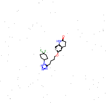 O=C1CCc2cc(OCCCCc3nnnn3C3CCC(F)(F)CC3)ccc2N1